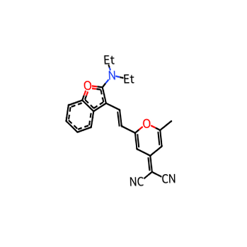 CCN(CC)c1oc2ccccc2c1C=CC1=CC(=C(C#N)C#N)C=C(C)O1